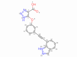 O=C(O)c1nn[nH]c1Oc1cccc(C#Cc2cccc3cn[nH]c23)c1